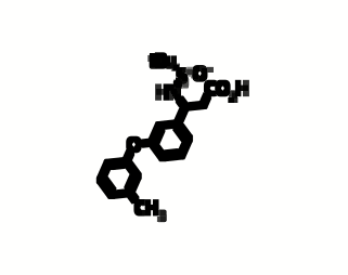 Cc1cccc(Oc2cccc(C(CC(=O)O)N[S@+]([O-])C(C)(C)C)c2)c1